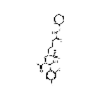 CC(=O)C1=CN(CCCC(=O)NOC2CCCCO2)S(=O)(=O)NC1c1ccc(C)cc1Cl